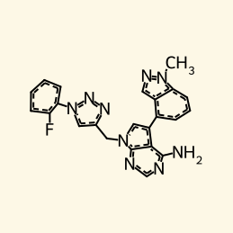 Cn1ncc2c(-c3cn(Cc4cn(-c5ccccc5F)nn4)c4ncnc(N)c34)cccc21